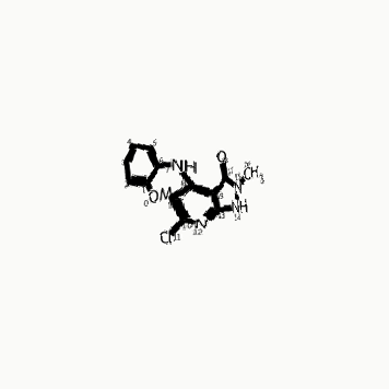 COc1ccccc1Nc1cc(Cl)nc2[nH]n(C)c(=O)c12